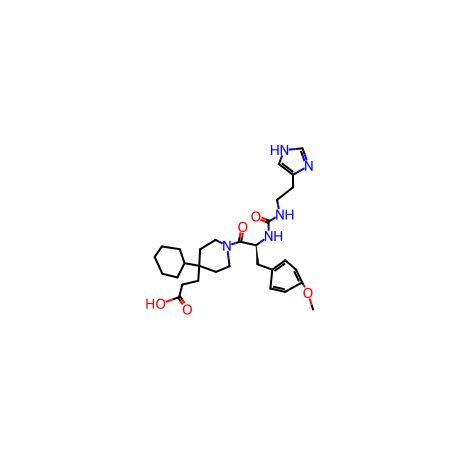 COc1ccc(C[C@H](NC(=O)NCCc2c[nH]cn2)C(=O)N2CCC(CCC(=O)O)(C3CCCCC3)CC2)cc1